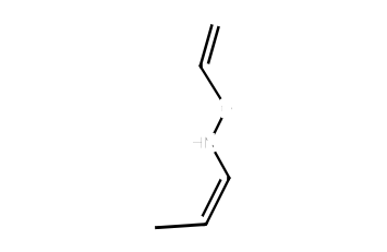 C=CON/C=C\C